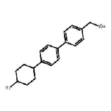 CCC(C)Cc1ccc(-c2ccc(C3CCC(CC)CC3)cc2)cc1